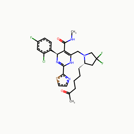 CNC(=O)C1=C(CN2CC(F)(F)C[C@@H]2CCCCC(C)=O)NC(c2nccs2)=N[C@H]1c1ccc(F)cc1Cl